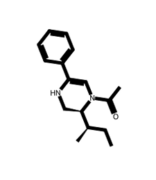 CC[C@@H](C)[C@H]1CNC(c2ccccc2)=CN1C(C)=O